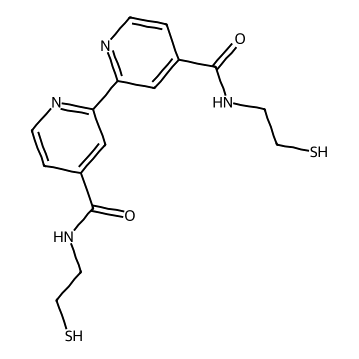 O=C(NCCS)c1ccnc(-c2cc(C(=O)NCCS)ccn2)c1